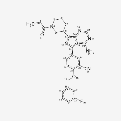 C=CC(=O)N1CCCC(n2nc(-c3ccc(OCc4cccc(F)c4)c(C#N)c3)c3c(N)ncnc32)C1